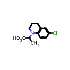 CC(C(=O)O)N1CCCc2cc(Cl)ccc21